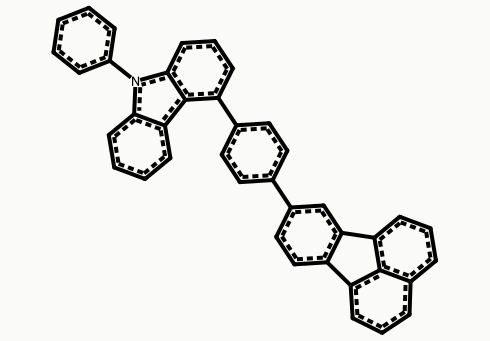 c1ccc(-n2c3ccccc3c3c(-c4ccc(-c5ccc6c(c5)-c5cccc7cccc-6c57)cc4)cccc32)cc1